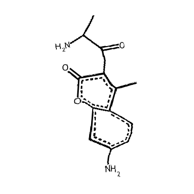 Cc1c(C(=O)C(C)N)c(=O)oc2cc(N)ccc12